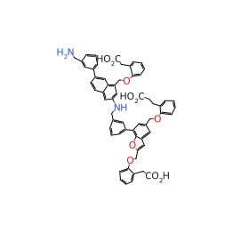 NCc1cccc(-c2ccc3cc(NCc4cccc(-c5cc(COc6ccccc6CCC(=O)O)cc6cc(COc7ccccc7CC(=O)O)oc56)c4)cc(COc4ccccc4CC(=O)O)c3c2)c1